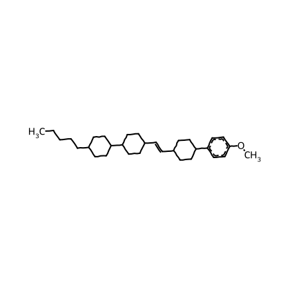 CCCCCC1CCC(C2CCC(/C=C/C3CCC(c4ccc(OC)cc4)CC3)CC2)CC1